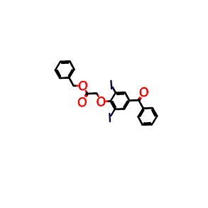 O=C(COc1c(I)cc(C(=O)c2ccccc2)cc1I)OCc1ccccc1